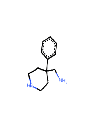 NCC1(c2ccccc2)CCNCC1